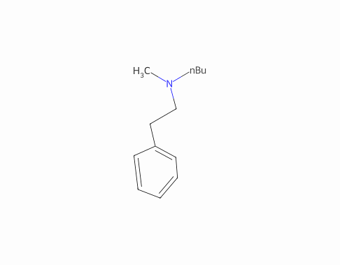 CCCCN(C)CCc1ccccc1